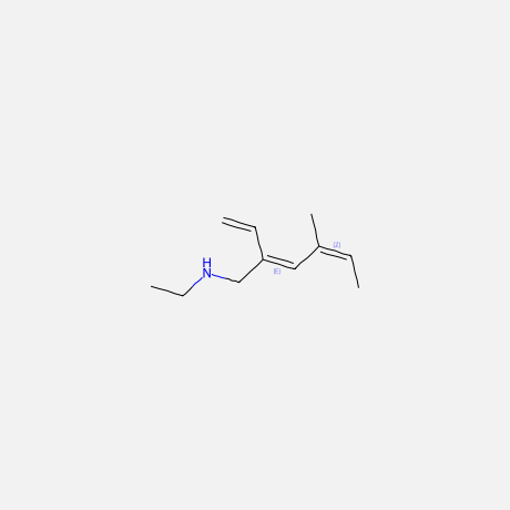 C=C/C(=C\C(C)=C/C)CNCC